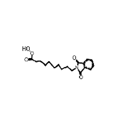 O=C(CCCCCCCCCN1C(=O)c2ccccc2C1=O)OO